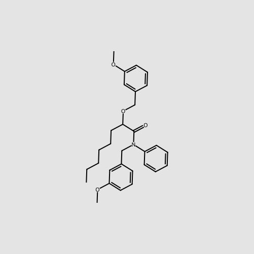 CCCCCCC(OCc1cccc(OC)c1)C(=O)N(Cc1cccc(OC)c1)c1ccccc1